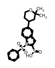 CC1(C)CC(c2ccc3c(c2)cc(S(=O)O)n3S(=O)(=O)c2ccccc2)CCO1